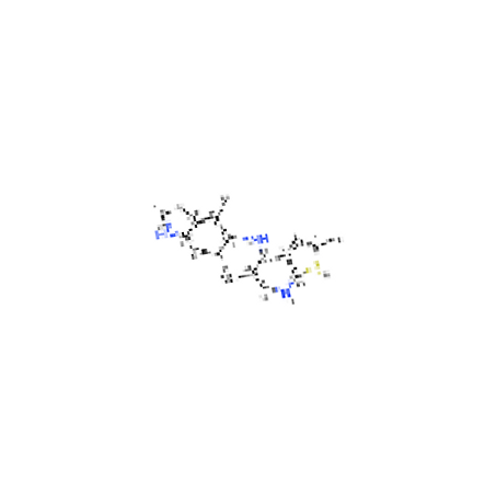 Cc1cc2c(Nc3ccc4[nH]ccc4c3C)c(C#N)cnc2s1